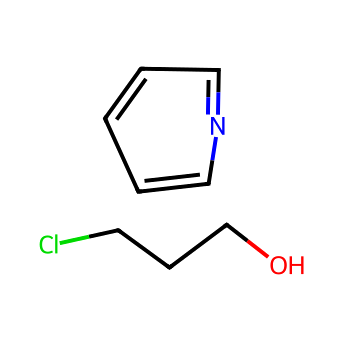 OCCCCl.c1ccncc1